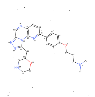 CN(C)CCCOc1ccc(-c2ccc3ncc4nnc(CC5CNCCO5)n4c3n2)cc1